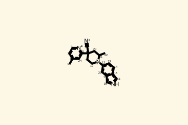 Cc1ccnc(C2(C#N)CCN(c3ccc4c[nH]cc4c3)C(C)C2)c1